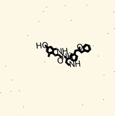 Cc1cc(O)cc(C)c1CC(N)C(=O)NC1CCNc2ccc(Cc3cc4ccccc4o3)cc21